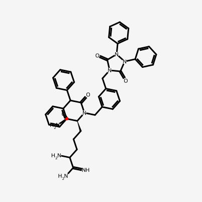 N=C(N)C(N)CCC[C@@H](C(N)=O)N(Cc1cccc(Cn2c(=O)n(-c3ccccc3)n(-c3ccccc3)c2=O)c1)C(=O)C(c1ccccc1)c1ccccc1